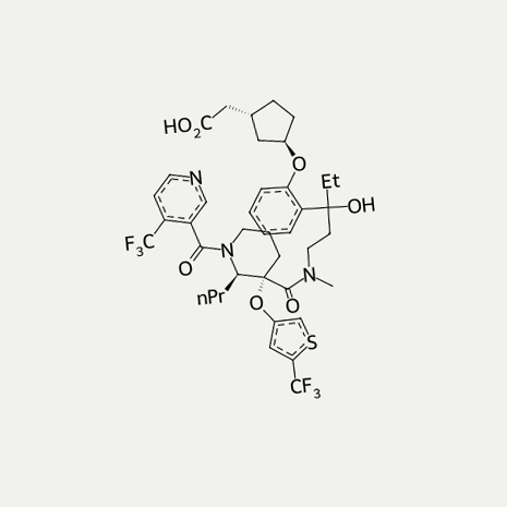 CCC[C@H]1N(C(=O)c2cnccc2C(F)(F)F)CCC[C@@]1(Oc1csc(C(F)(F)F)c1)C(=O)N(C)CCC(O)(CC)c1ccccc1O[C@@H]1CC[C@@H](CC(=O)O)C1